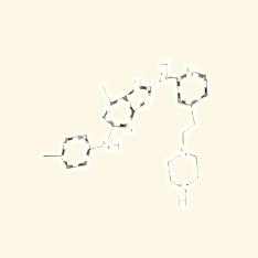 Cc1ccc(Nc2cc(C)c3nc(Nc4cc(CCN5CCNCC5)ccn4)sc3n2)cc1